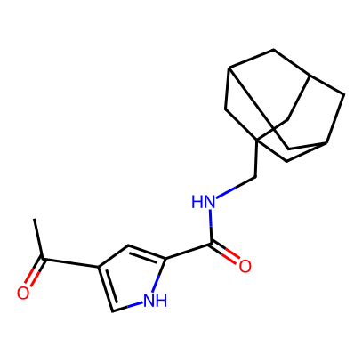 CC(=O)c1c[nH]c(C(=O)NCC23CC4CC(CC(C4)C2)C3)c1